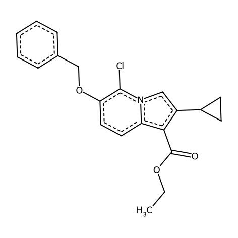 CCOC(=O)c1c(C2CC2)cn2c(Cl)c(OCc3ccccc3)ccc12